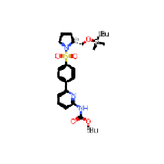 CC(C)(C)OC(=O)Nc1cccc(-c2ccc(S(=O)(=O)N3CCC[C@@H]3CO[Si](C)(C)C(C)(C)C)cc2)n1